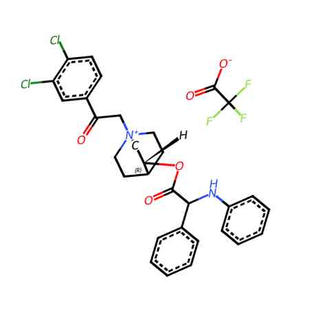 O=C(C[N+]12CCC(CC1)[C@@H](OC(=O)C(Nc1ccccc1)c1ccccc1)C2)c1ccc(Cl)c(Cl)c1.O=C([O-])C(F)(F)F